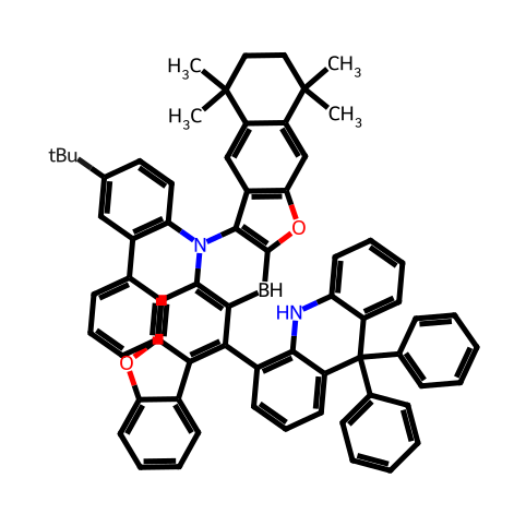 CC(C)(C)c1ccc(N2c3cc4oc5ccccc5c4c(-c4cccc5c4Nc4ccccc4C5(c4ccccc4)c4ccccc4)c3Bc3oc4cc5c(cc4c32)C(C)(C)CCC5(C)C)c(-c2ccccc2)c1